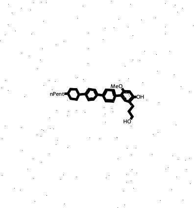 CCCCCC1CCC(c2ccc(-c3ccc(-c4cc(CCCO)c(O)cc4OC)cc3)cc2)CC1